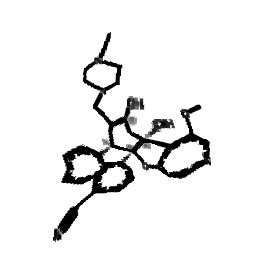 COc1cncc2c1[C@]1(O)[C@H](O)C(CN3CCN(C)CC3)[C@@H](c3ccccc3)[C@]1(c1ccc(C#N)cc1)O2